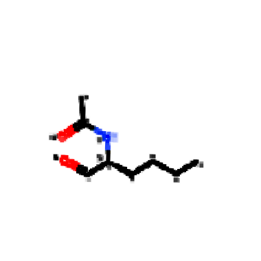 CCCC[C@@H]([C]=O)NC(C)=O